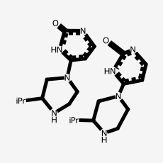 CC(C)C1CN(c2ccnc(=O)[nH]2)CCN1.CC(C)C1CN(c2ccnc(=O)[nH]2)CCN1